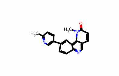 Cc1ccc(-c2ccc3ncc4ccc(=O)n(C)c4c3c2)cn1